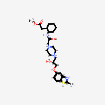 COC(=O)CC1CCCCC1NC(=O)CN1CCN(C[C@H](O)COc2ccc3sc(C)nc3c2)CC1